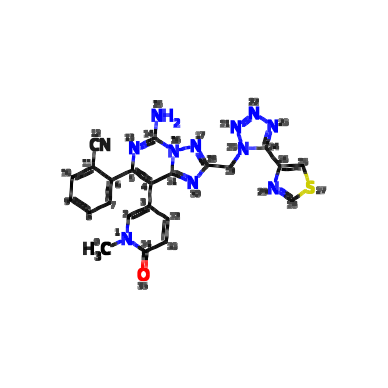 Cn1cc(-c2c(-c3ccccc3C#N)nc(N)n3nc(Cn4nnnc4-c4cscn4)nc23)ccc1=O